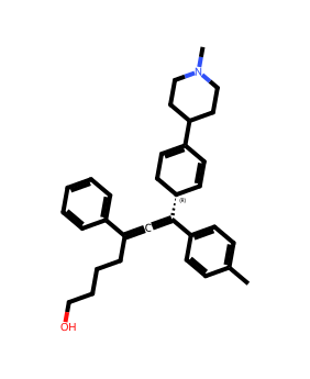 Cc1ccc(C(=C=C(CCCCO)c2ccccc2)[C@H]2C=CC(C3CCN(C)CC3)=CC2)cc1